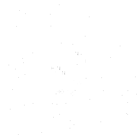 Nn1cc(C(=O)O)c(=O)c2cc(F)c(-n3cccc3)cc21